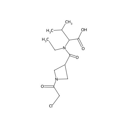 CCN(C(=O)C1CN(C(=O)CCl)C1)C(C(=O)O)C(C)C